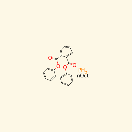 CCCCCCCCP.O=C(Oc1ccccc1)c1ccccc1C(=O)Oc1ccccc1